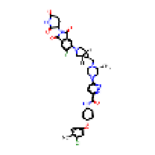 C[C@@H]1CN(c2ccc(C(=O)N[C@H]3CC[C@H](Oc4ccc(C#N)c(Cl)c4)CC3)nn2)CCN1C[C@H]1[C@@H]2CN(c3cc4c(cc3F)C(=O)N(C3CCC(=O)NC3=O)C4=O)C[C@@H]21